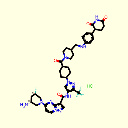 Cl.N[C@@H]1C[C@@H](F)CN(c2ccn3ncc(C(=O)Nc4cn(C5CCC(C(=O)N6CCC(CNc7ccc(C8CCC(=O)NC8=O)cc7)CC6)CC5)nc4C(F)(F)F)c3n2)C1